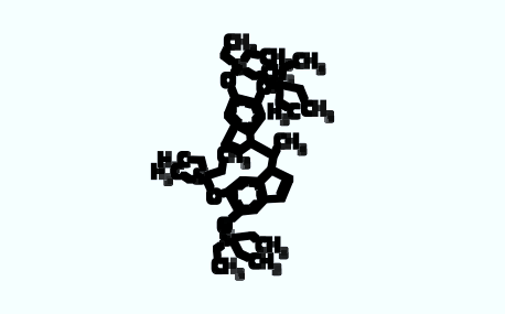 CC[Si](CC)(CC)Oc1cc2c(cc1O[Si](CC)(CC)CC)C(C(C)C1C=Cc3cc(O[Si](CC)(CC)CC)c(O[Si](CC)(CC)CC)cc31)C=C2